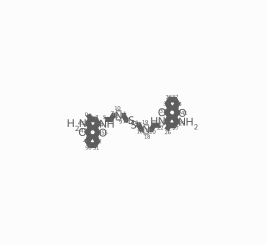 Cc1cc(NCCC[N+](C)(C)CCSSCC[N+](C)(C)CCCNc2c(C)cc(N)c3c2C(=O)c2ccccc2C3=O)c2c(c1N)C(=O)c1ccccc1C2=O